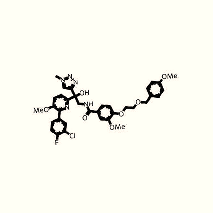 COc1ccc(COCCOc2ccc(C(=O)NCC(O)(c3cn(C)nn3)c3ccc(OC)c(-c4ccc(F)c(Cl)c4)n3)cc2OC)cc1